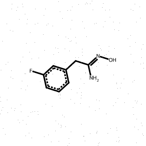 N/C(Cc1cccc(F)c1)=N\O